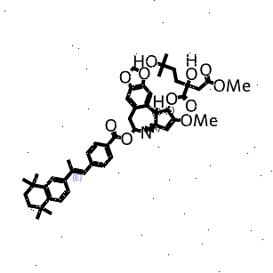 COC(=O)CC(O)(CCC(C)(C)O)C(=O)O[C@@H]1C(OC)=C[C@]23CCCN2C(OC(=O)c2ccc(/C=C(\C)c4ccc5c(c4)C(C)(C)CCC5(C)C)cc2)Cc2cc4c(cc2[C@H]13)OCO4